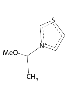 COC(C)[n+]1ccsc1